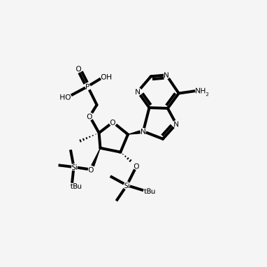 CC(C)(C)[Si](C)(C)O[C@H]1[C@H](n2cnc3c(N)ncnc32)O[C@](C)(OCP(=O)(O)O)[C@@H]1O[Si](C)(C)C(C)(C)C